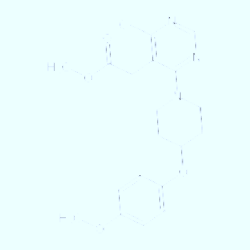 COC(=O)Cc1c(Cl)ncnc1N1CCC(Oc2ccc(OC)cc2)CC1